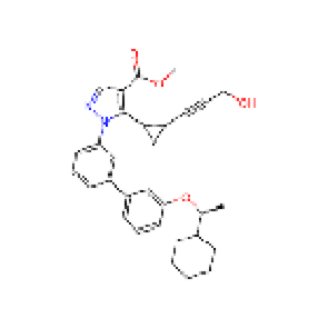 COC(=O)c1cnn(-c2cccc(-c3cccc(O[C@@H](C)C4CCCCC4)c3)c2)c1C1CC1C#CCO